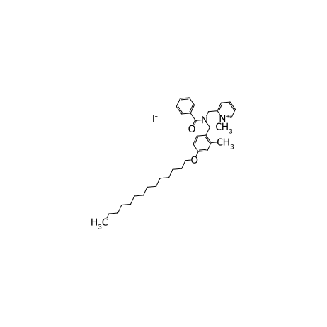 CCCCCCCCCCCCCCOc1ccc(CN(Cc2cccc[n+]2C)C(=O)c2ccccc2)c(C)c1.[I-]